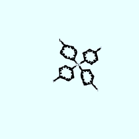 Ic1cc[c]([Ge]([c]2ccc(I)cc2)([c]2ccc(I)cc2)[c]2ccc(I)cc2)cc1